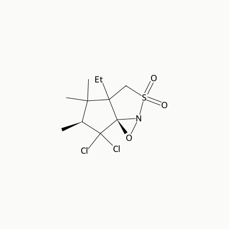 CCC12CS(=O)(=O)N3O[C@]31C(Cl)(Cl)[C@@H](C)C2(C)C